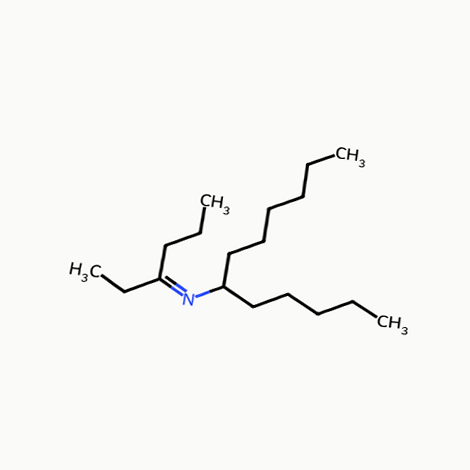 CCCCCCC(CCCCC)/N=C(/CC)CCC